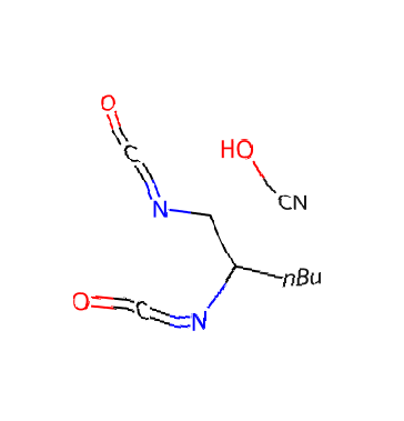 CCCCC(CN=C=O)N=C=O.N#CO